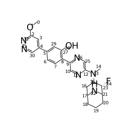 COc1cc(-c2ccc(-c3cnc(N(C)[C@H]4CC5CCCC(N5)[C@H]4F)cn3)c(O)c2)cnn1